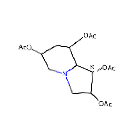 CC(=O)OC1CC(OC(C)=O)C2[C@H](OC(C)=O)C(OC(C)=O)CN2C1